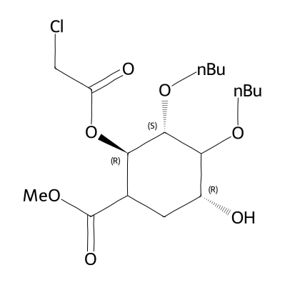 CCCCOC1[C@H](O)CC(C(=O)OC)[C@@H](OC(=O)CCl)[C@@H]1OCCCC